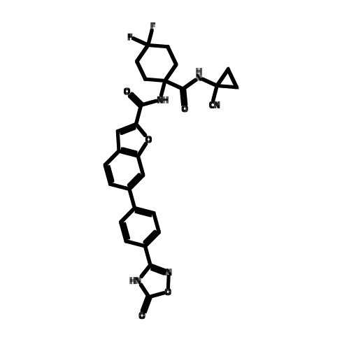 N#CC1(NC(=O)C2(NC(=O)c3cc4ccc(-c5ccc(-c6noc(=O)[nH]6)cc5)cc4o3)CCC(F)(F)CC2)CC1